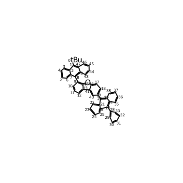 CC(C)(C)c1c2ccccc2c(-c2cccc3c2oc2ccc(-c4c5ccccc5c(-c5ccccc5)c5ccccc45)cc23)c2ccccc12